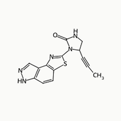 CC#CC1CNC(=O)N1c1nc2c(ccc3[nH]ncc32)s1